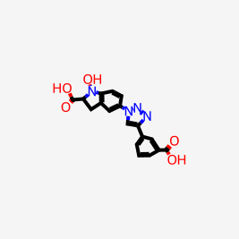 O=C(O)c1cccc(-c2cn(-c3ccc4c(c3)CC(C(=O)O)N4O)nn2)c1